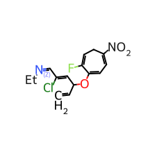 C=CC(C=C(Cl)/C=N\CC)OC1=CC=C([N+](=O)[O-])CC=C1F